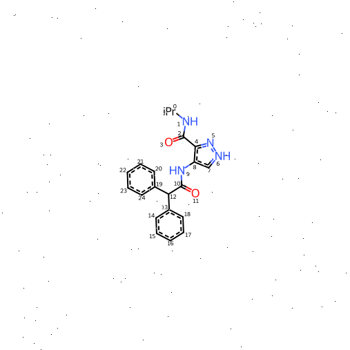 CC(C)NC(=O)c1n[nH]cc1NC(=O)C(c1ccccc1)c1ccccc1